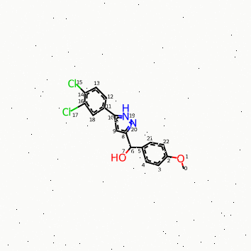 COc1ccc(C(O)c2cc(-c3ccc(Cl)c(Cl)c3)[nH]n2)cc1